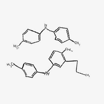 CCCc1cc(Pc2ccc(C)cc2)ccc1C.Cc1ccc(Pc2ccc(C)cc2)cc1